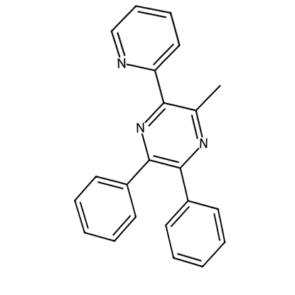 Cc1nc(-c2ccccc2)c(-c2ccccc2)nc1-c1ccccn1